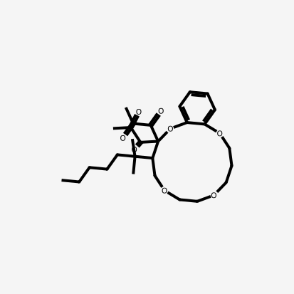 CCCCCC(C)(C)C1COCCOCCCOc2ccccc2OC1(C(=O)C(C)=O)C(=O)C(C)=O